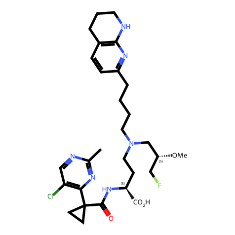 CO[C@H](CF)CN(CCCCc1ccc2c(n1)NCCC2)CC[C@H](NC(=O)C1(c2nc(C)ncc2Cl)CC1)C(=O)O